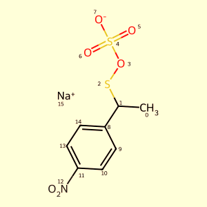 CC(SOS(=O)(=O)[O-])c1ccc([N+](=O)[O-])cc1.[Na+]